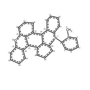 C[n+]1ccccc1-n1c2ccccc2c2c3cccc4oc5ccccc5c(c5cccc1c52)c43